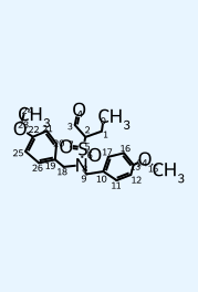 CCC(C=O)S(=O)(=O)N(Cc1ccc(OC)cc1)Cc1ccc(OC)cc1